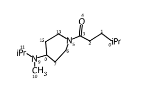 CC(C)CCC(=O)N1CCC(N(C)C(C)C)CC1